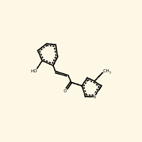 Cc1cncc(C(=O)/C=C/c2ccccc2O)c1